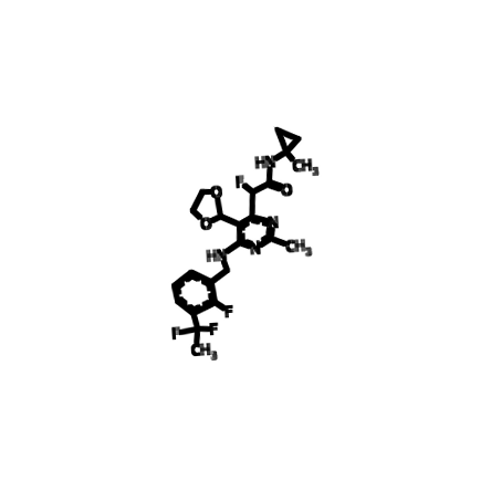 Cc1nc(NCc2cccc(C(C)(F)F)c2F)c(C2OCCO2)c(C(F)C(=O)NC2(C)CC2)n1